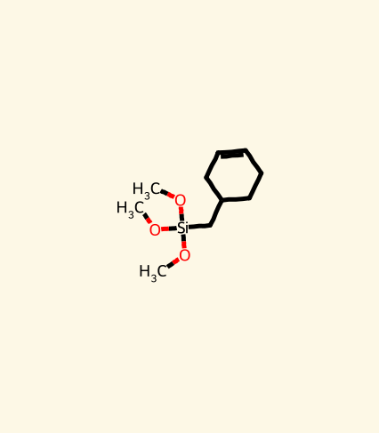 CO[Si](CC1CC=CCC1)(OC)OC